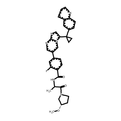 CO[C@H]1CCN(C(=O)C(C)NC(=O)c2ccc(-c3cnc4ncc(C5(c6ccc7ncccc7c6)CC5)n4c3)cc2F)C1